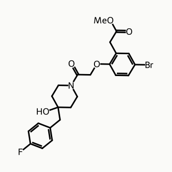 COC(=O)Cc1cc(Br)ccc1OCC(=O)N1CCC(O)(Cc2ccc(F)cc2)CC1